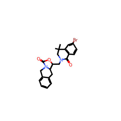 CC1(C)CN(CC2OC(=O)N3Cc4ccccc4CC23)C(=O)c2ccc(Br)cc21